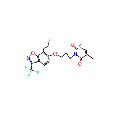 CCCc1c(OCCCn2c(=O)c(C)cn(C)c2=O)ccc2c(C(F)(F)F)noc12